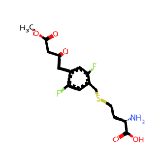 COC(=O)CC(=O)Cc1cc(F)c(CSCC[C@H](N)C(=O)O)cc1F